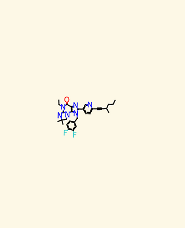 CCCC(C)C#Cc1ccc(-c2nc3c(n2Cc2ccc(F)c(F)c2)N2CC(C)(C)N=C2N(CC)C3=O)cn1